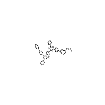 Cc1cccc(-c2ccc(-c3nc(-c4ccccc4)nc(-c4ccc5c(c4)oc4cc(-c6ccccc6)cc(-c6ccc(-c7ccccc7)cc6)c45)n3)cc2)c1